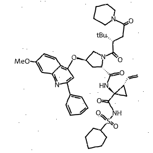 C=C[C@@H]1C[C@]1(NC(=O)[C@@H]1C[C@@H](Oc2cc(-c3ccccc3)nc3cc(OC)ccc23)CN1C(=O)[C@@H](CC(=O)N1CCCCC1)C(C)(C)C)C(=O)NS(=O)(=O)C1CCCCC1